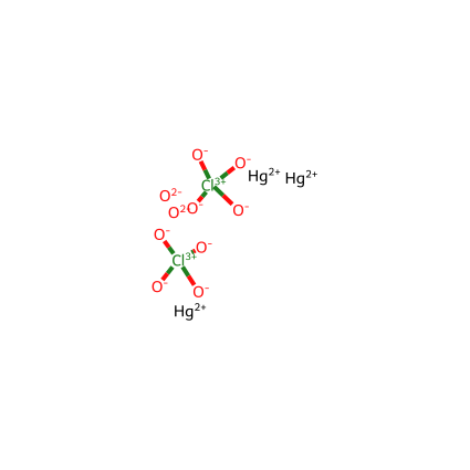 [Hg+2].[Hg+2].[Hg+2].[O-2].[O-2].[O-][Cl+3]([O-])([O-])[O-].[O-][Cl+3]([O-])([O-])[O-]